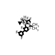 CC(C)C(=O)N1CC(F)(F)[C@H](NS(=O)(=O)C2CC2)[C@@H]1Cc1cccc(-c2cc(F)cc(F)c2)c1F